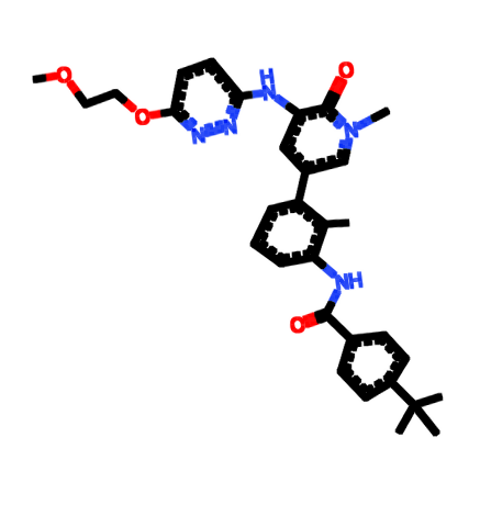 COCCOc1ccc(Nc2cc(-c3cccc(NC(=O)c4ccc(C(C)(C)C)cc4)c3C)cn(C)c2=O)nn1